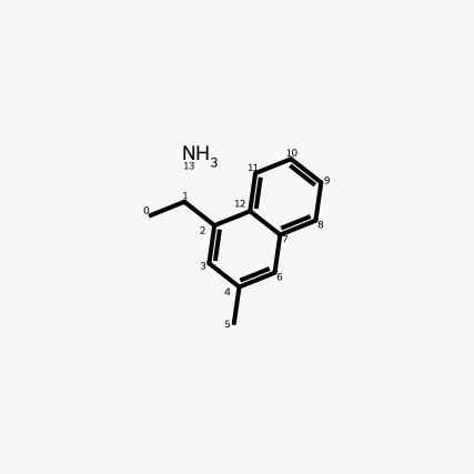 CCc1cc(C)cc2ccccc12.N